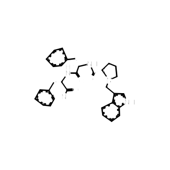 NC(=O)[C@H](Cc1ccccc1)NC(=O)[C@H](Cc1ccccc1)NC(=O)[C@@H]1CCCN1Cc1c[nH]c2ccccc12